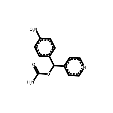 NC(=O)OC(c1ccncc1)c1ccc([N+](=O)[O-])cc1